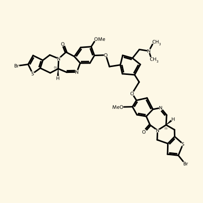 COc1cc2c(cc1OCc1cc(COc3cc4c(cc3OC)C(=O)N3Cc5cc(Br)sc5C[C@H]3C=N4)cc(CN(C)C)c1)N=C[C@@H]1Cc3sc(Br)cc3CN1C2=O